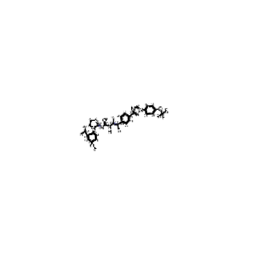 COc1ccc(N2CCS/C2=N\C(=O)N/C(C)=C(\C)c2ccc(-c3ncn(-c4ccc(OC(F)(F)F)cc4)n3)cc2)c(C(C)C)c1